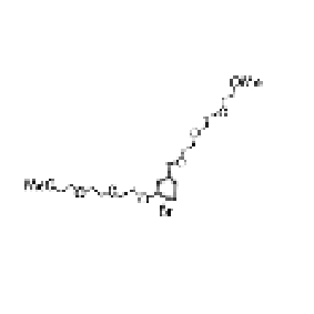 COCCOCCOCCOCc1ccc(Br)c(OCCOCCOCCOC)c1